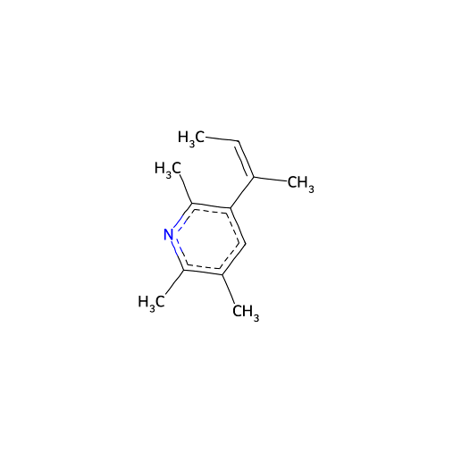 C/C=C(/C)c1cc(C)c(C)nc1C